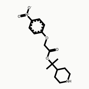 CC(C)(OC(=O)COc1ccc([N+](=O)[O-])cc1)C1CCNCC1